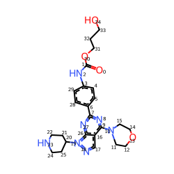 O=C(Nc1ccc(-c2nc(N3CCOCC3)c3cnn(C4CCNCC4)c3n2)cc1)OCCCO